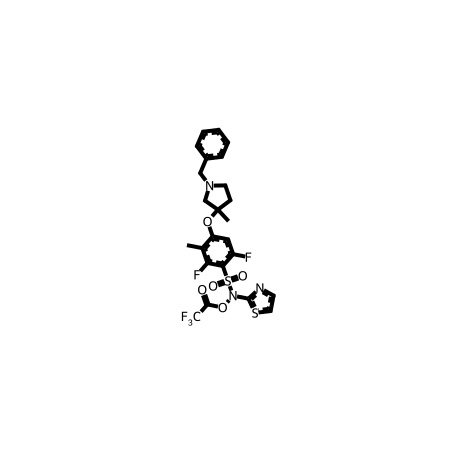 Cc1c(OC2(C)CCN(Cc3ccccc3)C2)cc(F)c(S(=O)(=O)N(OC(=O)C(F)(F)F)c2nccs2)c1F